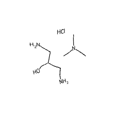 CN(C)C.Cl.NCC(O)CN